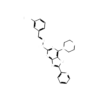 Cc1cccc(/C=N/Nc2nc(N3CCOCC3)c3[nH]c(-c4ccccn4)nc3n2)c1